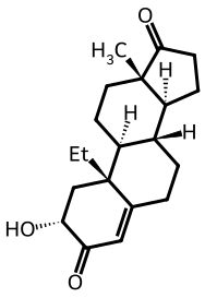 CC[C@]12C[C@@H](O)C(=O)C=C1CC[C@@H]1[C@@H]2CC[C@]2(C)C(=O)CC[C@@H]12